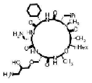 CCCCCC[C@H]1O[C@@H](C)NC(=O)[C@H](COCC(O)CN)NC(=O)[C@H](CN)NC(=O)[C@H](C2CCCCC2)NC(=O)[C@H](CC(C)C)N(C)C(=O)[C@@H]1C